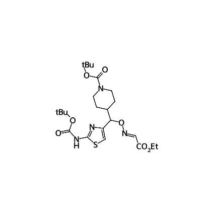 CCOC(=O)C=NOC(c1csc(NC(=O)OC(C)(C)C)n1)C1CCN(C(=O)OC(C)(C)C)CC1